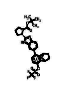 CN1C2CCC1c1c(-c3ccc4nc([C@@H]5CCCN5C(=O)OC(C)(C)C)[nH]c4c3)ccc(OS(=O)(=O)C(F)(F)F)c12